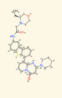 CC[C@H]1COCCN1CC(=O)Nc1ccc2sc3c(-c4cccn5c(=O)cc(N6CCCCC6)nc45)cccc3c2c1